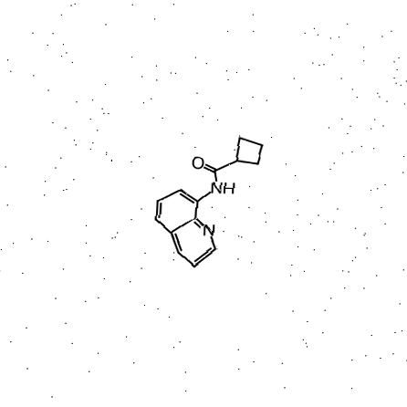 O=C(Nc1cccc2cccnc12)C1CCC1